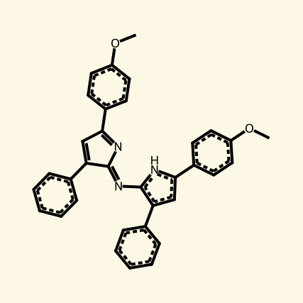 COc1ccc(C2=N/C(=N\c3[nH]c(-c4ccc(OC)cc4)cc3-c3ccccc3)C(c3ccccc3)=C2)cc1